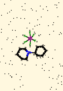 F[P-](F)(F)(F)(F)F.c1ccc(-[n+]2ccccc2)cc1